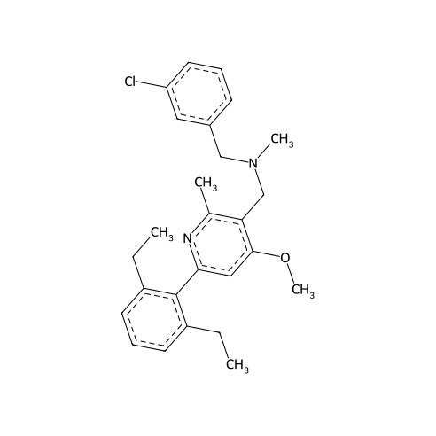 CCc1cccc(CC)c1-c1cc(OC)c(CN(C)Cc2cccc(Cl)c2)c(C)n1